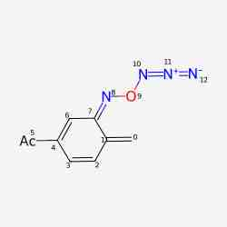 C=C1C=CC(C(C)=O)=C/C1=N/ON=[N+]=[N-]